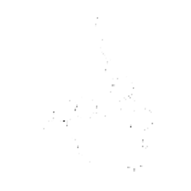 COCCCN1C(=O)COc2ccc(CO[C@H]3CN(C(=O)OC(C)(C)C)CC[C@]3(O)c3ccc(COCCOC)cc3)cc21